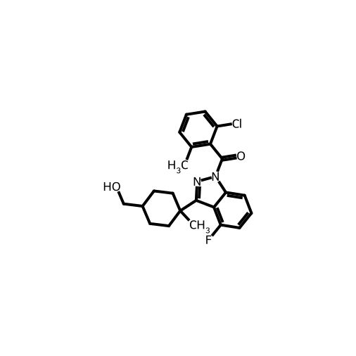 Cc1cccc(Cl)c1C(=O)n1nc(C2(C)CCC(CO)CC2)c2c(F)cccc21